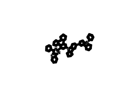 c1ccc(-c2nc(-c3cc(-n4c5ccccc5c5cc(-c6ccc7c(c6)c6ccccc6n7-c6ccccc6)ccc54)cc4c5ccccc5c5ccccc5c34)nc3c2sc2ccccc23)cc1